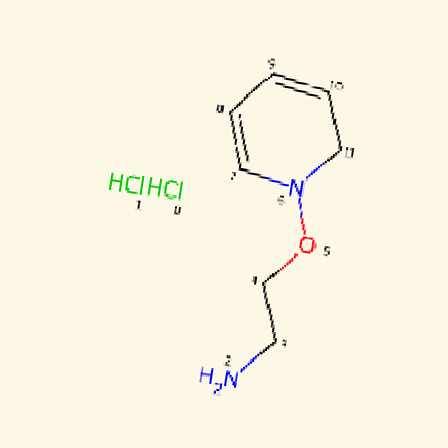 Cl.Cl.NCCON1C=CC=CC1